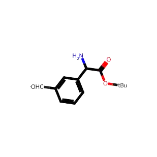 CC(C)(C)OC(=O)C(N)c1cccc([C]=O)c1